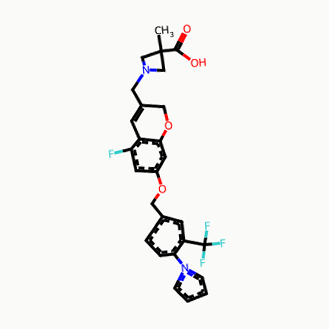 CC1(C(=O)O)CN(CC2=Cc3c(F)cc(OCc4ccc(-n5cccc5)c(C(F)(F)F)c4)cc3OC2)C1